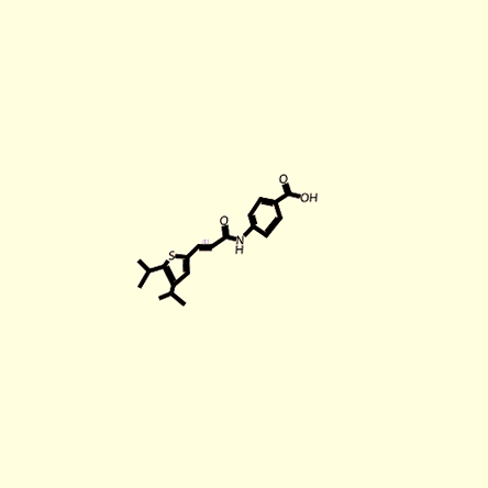 CC(C)c1cc(/C=C/C(=O)Nc2ccc(C(=O)O)cc2)sc1C(C)C